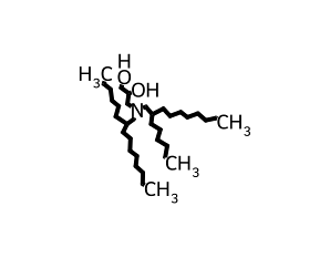 CCCCCCCCC(CCCCCC)CN(CC(O)CO)CC(CCCCCC)CCCCCCCC